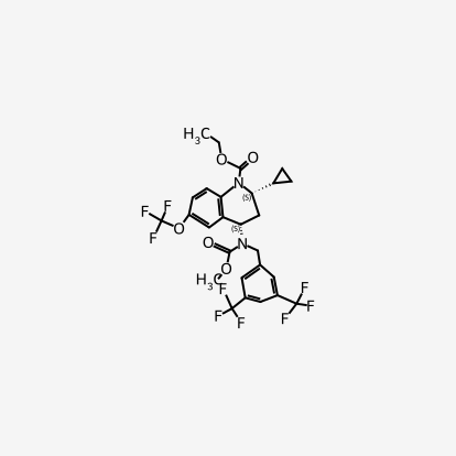 CCOC(=O)N1c2ccc(OC(F)(F)F)cc2[C@@H](N(Cc2cc(C(F)(F)F)cc(C(F)(F)F)c2)C(=O)OC)C[C@H]1C1CC1